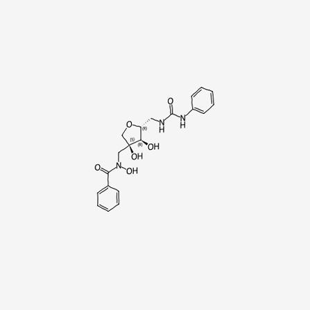 O=C(NC[C@H]1OC[C@@](O)(CN(O)C(=O)c2ccccc2)[C@@H]1O)Nc1ccccc1